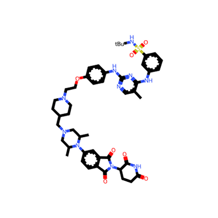 Cc1cnc(Nc2ccc(OCCN3CCC(CN4CC(C)N(c5ccc6c(c5)C(=O)N(C5CCC(=O)NC5=O)C6=O)C(C)C4)CC3)cc2)nc1Nc1cccc(S(=O)(=O)NC(C)(C)C)c1